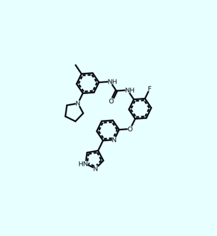 Cc1cc(NC(=O)Nc2cc(Oc3cccc(-c4cn[nH]c4)n3)ccc2F)cc(N2CCCC2)c1